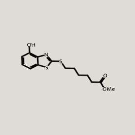 COC(=O)CCCCCSc1nc2c(O)cccc2s1